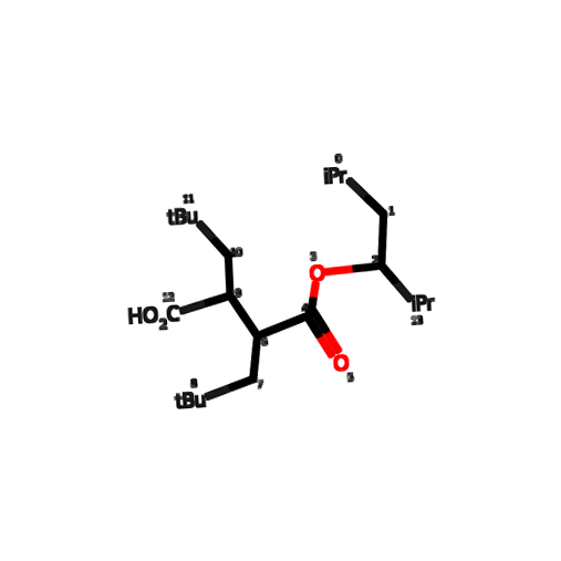 CC(C)CC(OC(=O)C(CC(C)(C)C)C(CC(C)(C)C)C(=O)O)C(C)C